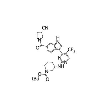 CC(C)(C)OC(=O)N1CCC[C@H](Nc2ncc(C(F)(F)F)c(-c3c[nH]c4cc(C(=O)N5CC[C@H](C#N)C5)ccc34)n2)C1